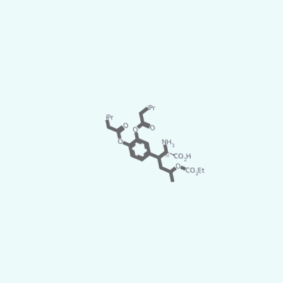 CCOC(=O)OC(C)CC(c1ccc(OC(=O)CC(C)C)c(OC(=O)CC(C)C)c1)[C@H](N)C(=O)O